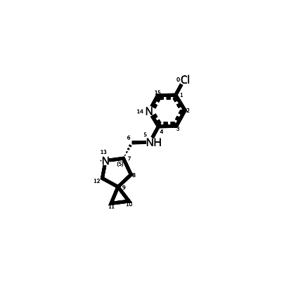 Clc1ccc(NC[C@@H]2CC3(CC3)C[N]2)nc1